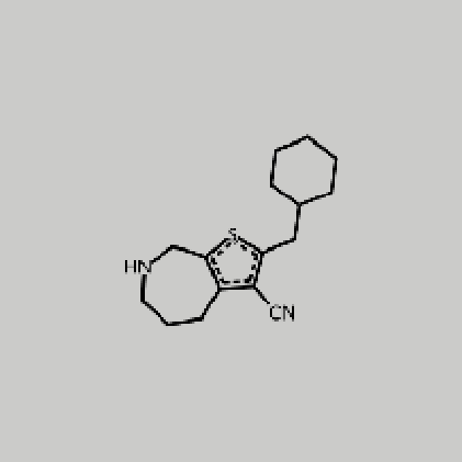 N#Cc1c(CC2CCCCC2)sc2c1CCCNC2